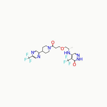 C[C@@H](COCCC(=O)N1CCC(c2cnc(C(F)(F)F)cn2)CC1)Nc1cn[nH]c(=O)c1C(F)(F)F